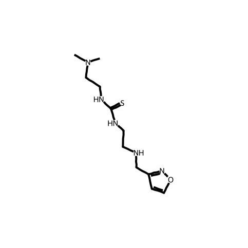 CN(C)CCNC(=S)NCCNCc1ccon1